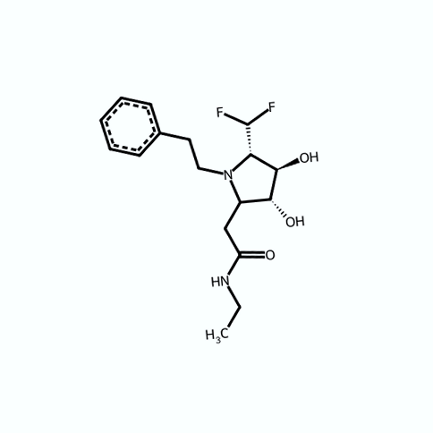 CCNC(=O)CC1[C@@H](O)[C@H](O)[C@@H](C(F)F)N1CCc1ccccc1